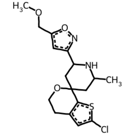 COCc1cc(C2CC3(CC(C)N2)OCCc2cc(Cl)sc23)no1